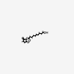 O=C(CCCCCCCCCO)ON1C(=O)CCC1=O